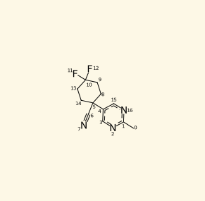 Cc1ncc(C2(C#N)CCC(F)(F)CC2)cn1